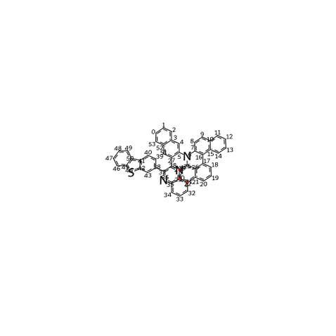 c1ccc2cc(N3c4ccc5ccccc5c4-c4cccc5cccc3c45)c(-c3nc4ccccc4nc3-c3ccc4c(c3)sc3ccccc34)cc2c1